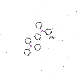 [Rh+].c1ccc(P(c2ccccc2)c2ccccc2)cc1.c1ccc(P(c2ccccc2)c2ccccc2)cc1